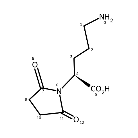 NCCC[C@@H](C(=O)O)N1C(=O)CCC1=O